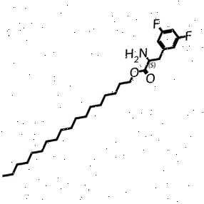 CCCCCCCCCCCCCCCCCCOC(=O)[C@@H](N)Cc1cc(F)cc(F)c1